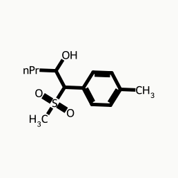 CCCC(O)C(c1ccc(C)cc1)S(C)(=O)=O